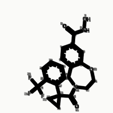 O=C(NO)c1ccc2c(c1)OCCN(C(=O)C1(c3ccccc3C(F)(F)F)CC1)C2